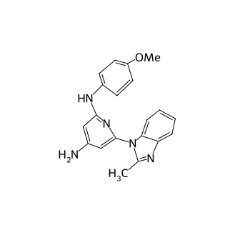 COc1ccc(Nc2cc(N)cc(-n3c(C)nc4ccccc43)n2)cc1